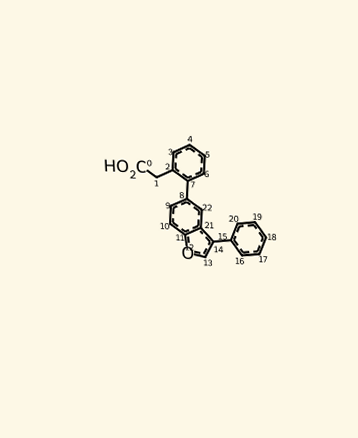 O=C(O)Cc1ccccc1-c1ccc2occ(-c3ccccc3)c2c1